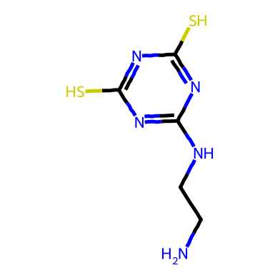 NCCNc1nc(S)nc(S)n1